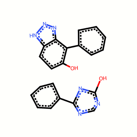 Oc1ccc2[nH]nnc2c1-c1ccccc1.Oc1ncnc(-c2ccccc2)n1